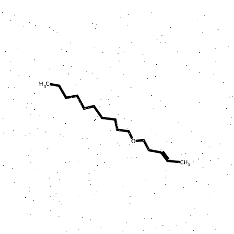 CC=CCCOCCCCCCCCCC